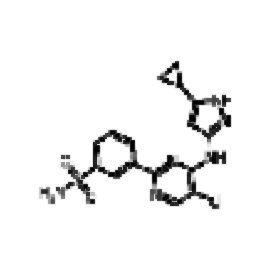 NS(=O)(=O)c1cccc(-c2ncc(Cl)c(Nc3cc(C4CC4)[nH]n3)n2)c1